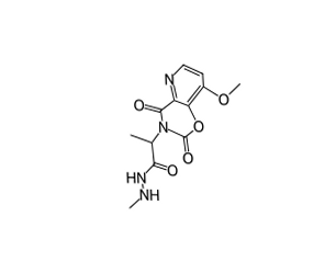 CNNC(=O)C(C)n1c(=O)oc2c(OC)ccnc2c1=O